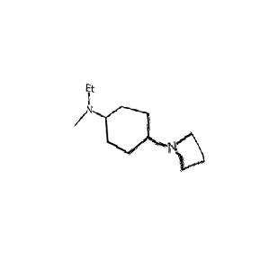 CCN(C)C1CCC(N2CCC2)CC1